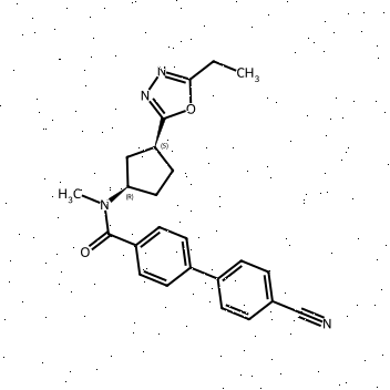 CCc1nnc([C@H]2CC[C@@H](N(C)C(=O)c3ccc(-c4ccc(C#N)cc4)cc3)C2)o1